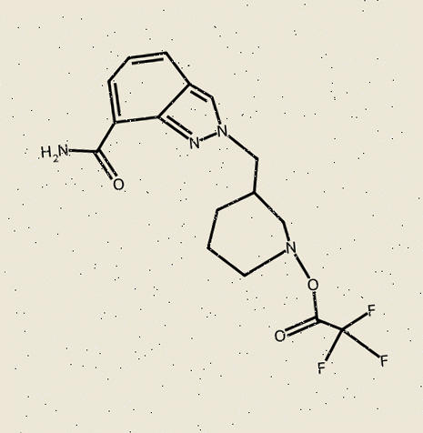 NC(=O)c1cccc2cn(CC3CCCN(OC(=O)C(F)(F)F)C3)nc12